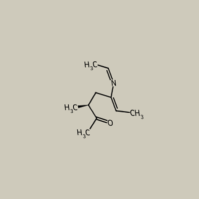 C/C=N\C(=C/C)C[C@H](C)C(C)=O